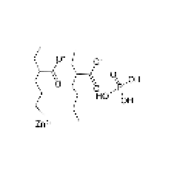 CCCCC(CC)C(=O)[O-].CCCCC(CC)C(=O)[O-].O=P(O)(O)O.[Zn+2]